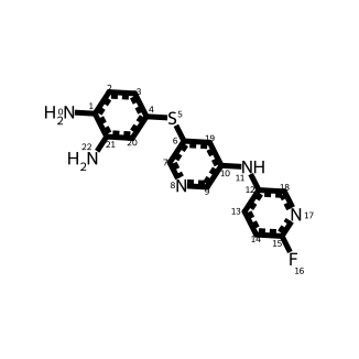 Nc1ccc(Sc2cncc(Nc3ccc(F)nc3)c2)cc1N